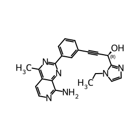 CCn1ccnc1[C@H](O)C#Cc1cccc(-c2nc(C)c3ccnc(N)c3n2)c1